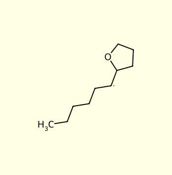 CCCCC[CH]C1CCCO1